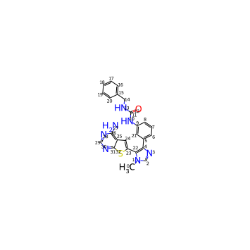 Cn1cnc(-c2cccc(NC(=O)NCc3ccccc3)c2)c1-c1cc2c(N)ncnc2s1